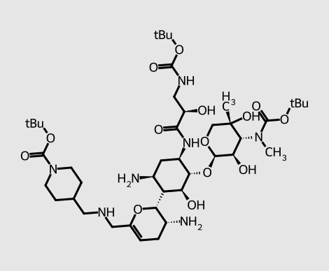 CN(C(=O)OC(C)(C)C)[C@@H]1[C@@H](O)[C@@H](O[C@H]2[C@H](NC(=O)[C@H](O)CNC(=O)OC(C)(C)C)C[C@H](N)C([C@H]3OC(CNCC4CCN(C(=O)OC(C)(C)C)CC4)=CC[C@H]3N)[C@@H]2O)OC[C@]1(C)O